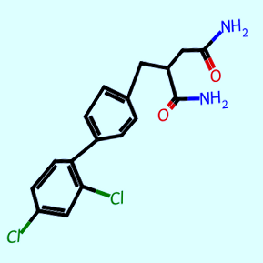 NC(=O)CC(Cc1ccc(-c2ccc(Cl)cc2Cl)cc1)C(N)=O